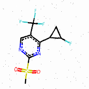 CS(=O)(=O)c1ncc(C(F)(F)F)c(C2CC2F)n1